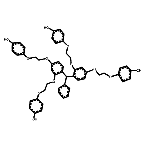 Oc1ccc(OCCOc2ccc(C(c3ccccc3)c3ccc(OCCOc4ccc(O)cc4)cc3OCCOc3ccc(O)cc3)c(OCCOc3ccc(O)cc3)c2)cc1